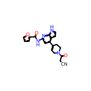 N#CCC(=O)N1CC=C(c2cc(NC(=O)c3ccco3)nc3[nH]ccc23)CC1